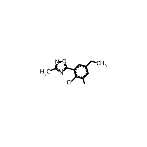 CCc1cc(I)c(Cl)c(-c2nc(C)no2)c1